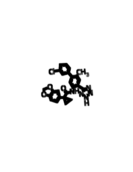 Cc1cc(-c2nn[nH]n2)c(NC(=O)C2(c3ccc4c(c3)OCO4)CC2)cc1-c1cccc(Cl)c1